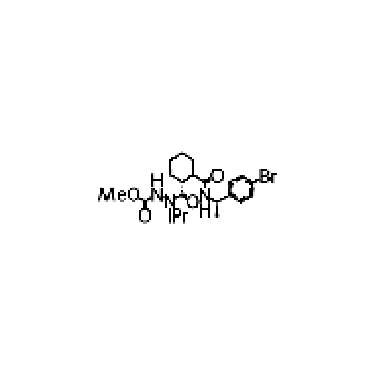 COC(=O)NN(C(=O)[C@@H]1CCCCC1C(=O)N[C@H](C)c1ccc(Br)cc1)C(C)C